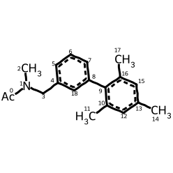 CC(=O)N(C)Cc1cccc(-c2c(C)cc(C)cc2C)c1